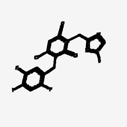 Cn1cnc(Cn2c(=O)cc(Cl)n(Cc3cc(F)c(F)cc3F)c2=O)n1